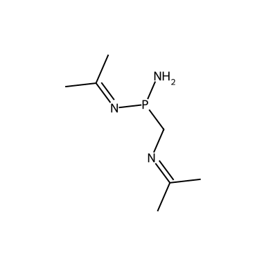 CC(C)=NCP(N)N=C(C)C